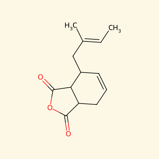 CC=C(C)CC1C=CCC2C(=O)OC(=O)C12